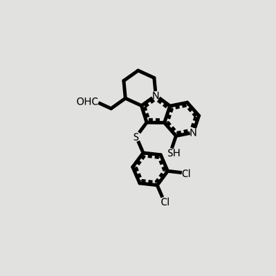 O=CCC1CCCn2c1c(Sc1ccc(Cl)c(Cl)c1)c1c(S)nccc12